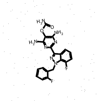 NC(=O)Oc1c(N)nc(-c2nn(Cc3ccccc3F)c3c(F)cccc23)nc1N